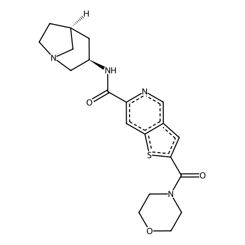 O=C(N[C@@H]1C[C@@H]2CCN(C2)C1)c1cc2sc(C(=O)N3CCOCC3)cc2cn1